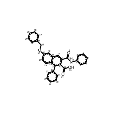 O=C(Nc1ccccc1)c1cc2cc(OCc3ccccc3)ccc2c(-c2ccccc2)c1C(=O)O